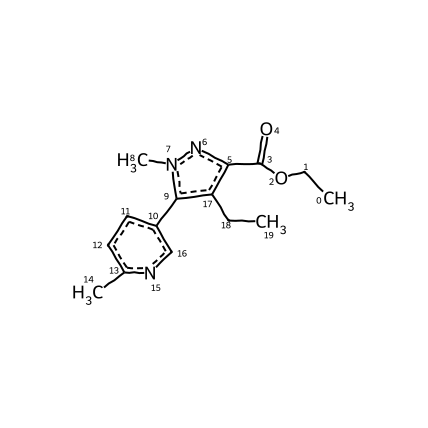 CCOC(=O)c1nn(C)c(-c2ccc(C)nc2)c1CC